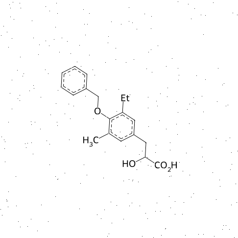 CCc1cc(CC(O)C(=O)O)cc(C)c1OCc1ccccc1